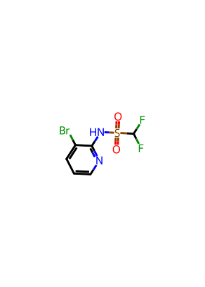 O=S(=O)(Nc1ncccc1Br)C(F)F